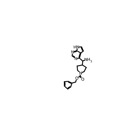 NC(c1ncnc2[nH]ccc12)C1CCN(C(=O)OCc2ccccc2)CC1